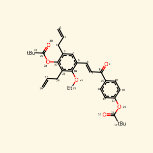 C=CCc1cc(C=CC(=O)c2ccc(OC(=O)C(C)(C)C)cc2)c(OCC)c(CC=C)c1OC(=O)C(C)(C)C